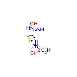 N=C(NO)c1csc([C@@H](CO)NC(=O)O)c1